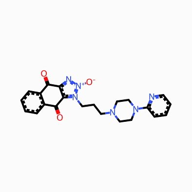 O=C1c2ccccc2C(=O)c2c1n[n+]([O-])n2CCCN1CCN(c2ccccn2)CC1